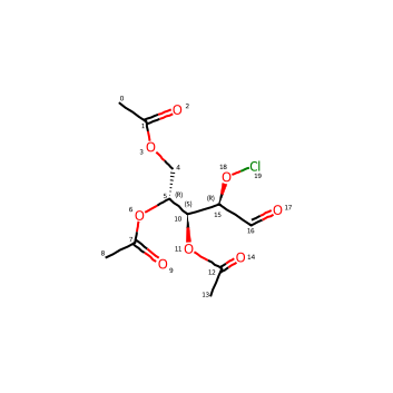 CC(=O)OC[C@@H](OC(C)=O)[C@H](OC(C)=O)[C@H](C=O)OCl